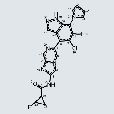 O=C(Nc1cn2cc(-c3c(Cl)c(F)c(-n4cccc4)c4[nH]ncc34)ncc2n1)C1CC1F